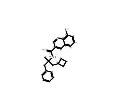 CC(Cc1ccccc1)(CC1CCC1)NC(=O)c1cnc2c(F)cccc2c1